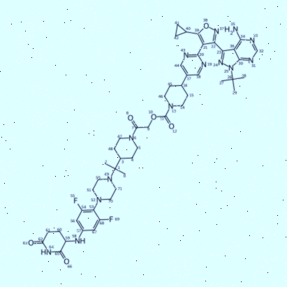 CC(C)(C1CCN(C(=O)COC(=O)N2CCC(c3cnc(-c4c(-c5nn(C(C)(C)C)c6ncnc(N)c56)noc4C4CC4)nc3)CC2)CC1)N1CCN(c2c(F)cc(NC3CCC(=O)NC3=O)cc2F)CC1